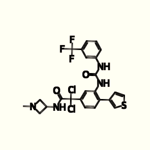 CN1CC(NC(=O)C(Cl)(Cl)c2ccc(-c3ccsc3)c(NC(=O)Nc3cccc(C(F)(F)F)c3)c2)C1